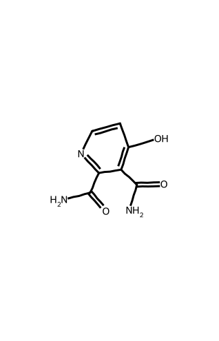 NC(=O)c1nccc(O)c1C(N)=O